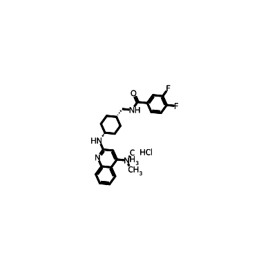 CN(C)c1cc(N[C@H]2CC[C@@H](CNC(=O)c3ccc(F)c(F)c3)CC2)nc2ccccc12.Cl